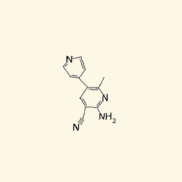 Cc1nc(N)c(C#N)cc1-c1ccncc1